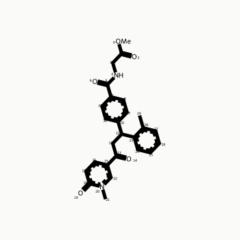 COC(=O)CNC(=O)c1ccc(C(CC(=O)c2ccc(=O)n(C)c2)c2ccccc2C)cc1